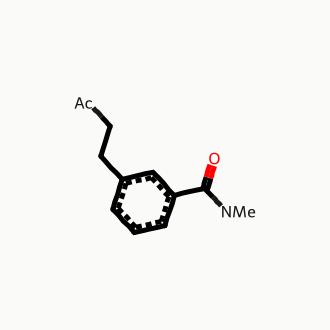 CNC(=O)c1cccc(CCC(C)=O)c1